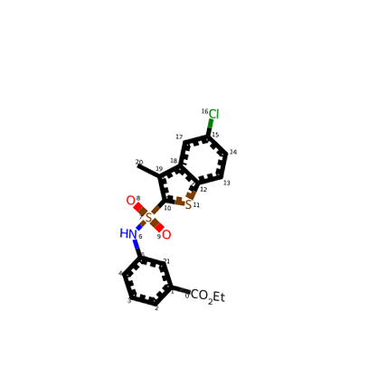 CCOC(=O)c1cccc(NS(=O)(=O)c2sc3ccc(Cl)cc3c2C)c1